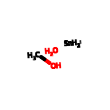 CO.O.[SnH2]